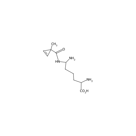 CC1(C(=O)NC(N)CCCC(N)C(=O)O)C=C1